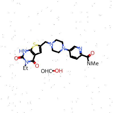 CCn1c(=O)[nH]c2sc(CN3CCN(c4ccc(C(=O)NC)nc4)CC3)cc2c1=O.O=CO